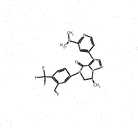 C[C@H]1CN(c2ccc(C(F)(F)F)c(CF)c2)C(=O)c2c(-c3ccnc(N(C)C)c3)cnn21